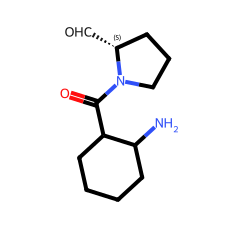 NC1CCCCC1C(=O)N1CCC[C@H]1C=O